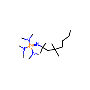 CCCCC(C)(C)CC(C)(C)N=P(N(C)C)(N(C)C)N(C)C